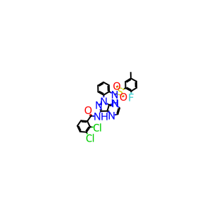 Cc1ccc(F)c(S(=O)(=O)Nc2ccccc2-n2nc(NC(=O)c3cccc(Cl)c3Cl)c3nccnc32)c1